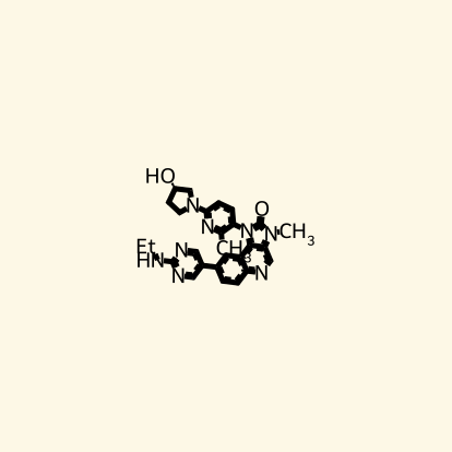 CCNc1ncc(-c2ccc3ncc4c(c3c2)n(-c2ccc(N3CC[C@H](O)C3)nc2C)c(=O)n4C)cn1